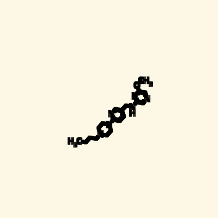 CCCCN1CCN(c2ccc(CNc3cncc(OC)n3)cn2)CC1